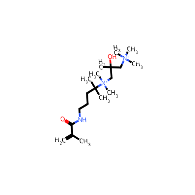 C=C(C)C(=O)NCCCC(C)(C)[N+](C)(C)CC(C)(O)C[N+](C)(C)C